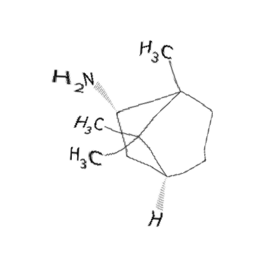 CC1(C)[C@H]2CCC1(C)[C@@H](N)C2